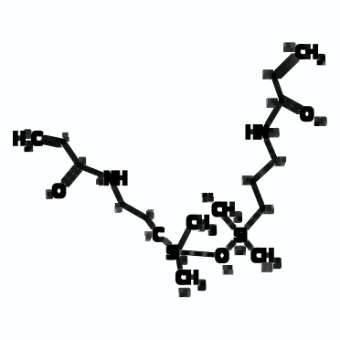 C=CC(=O)NCCC[Si](C)(C)O[Si](C)(C)CCCNC(=O)C=C